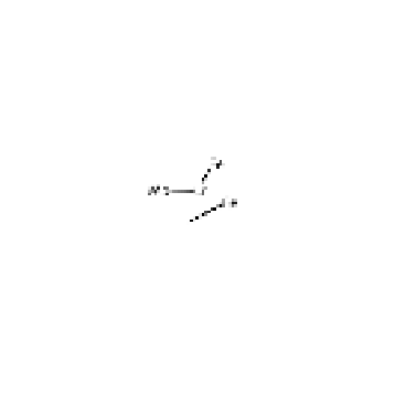 [CH3][Fe].[Fe][Cr][Mo]